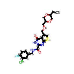 N#CCC1COC(COCc2csc3nc(C(=O)NCc4ccc(F)c(Cl)c4)[nH]c(=O)c23)CO1